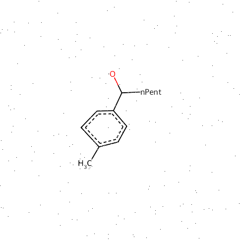 CCCCCC([O])c1ccc(C)cc1